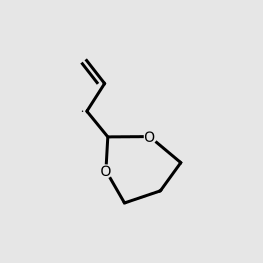 C=C[CH]C1OCCCO1